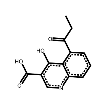 CCC(=O)c1cccc2ncc(C(=O)O)c(O)c12